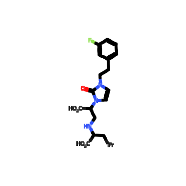 CC(C)CC(NCC(C(=O)O)n1ccn(CCc2cccc(F)c2)c1=O)C(=O)O